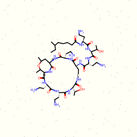 CCC(C)CCCCC(=O)N[C@@H](CCN)C(=O)N[C@H](C(=O)N[C@H](CCN)C(=O)N[C@H]1CCNC(=O)[C@H](C(C)O)NC(=O)[C@H](CCN)NC(=O)[C@H](CCN)NC(=O)[C@H]2NC(=O)[C@@H](CC(C)OC2C)NC(=O)[C@H](CCN)NC1=O)C(C)O